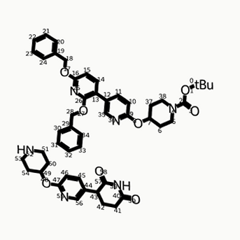 CC(C)(C)OC(=O)N1CCC(Oc2ccc(-c3ccc(OCc4ccccc4)nc3OCc3ccccc3)cn2)CC1.O=C1CCC(c2ccc(OC3CCNCC3)nc2)C(=O)N1